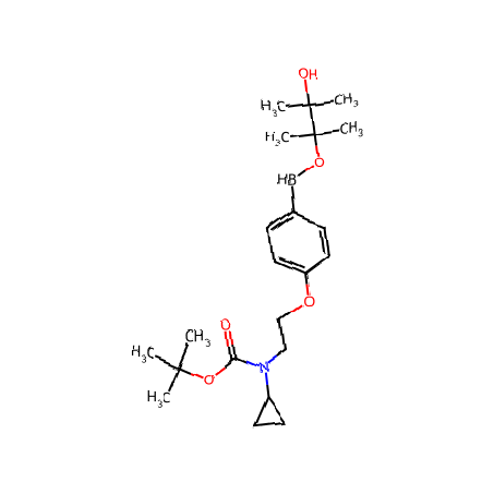 CC(C)(C)OC(=O)N(CCOc1ccc(BOC(C)(C)C(C)(C)O)cc1)C1CC1